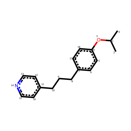 CC(C)Oc1ccc(CCCc2ccncc2)cc1